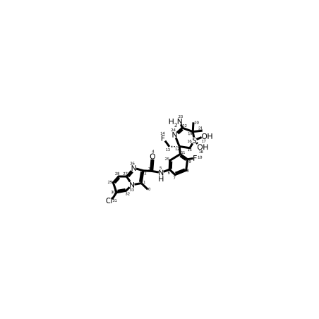 Cc1c(C(=O)Nc2ccc(F)c([C@]3(CF)CS(O)(O)C(C)(C)C(N)=N3)c2)nc2ccc(Cl)cn12